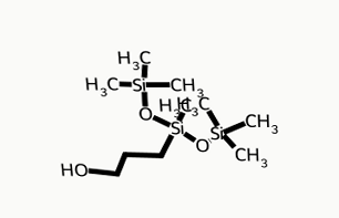 C[Si](C)(C)O[Si](C)(CCCO)O[Si](C)(C)C